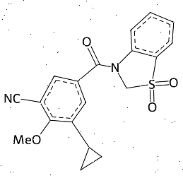 COc1c(C#N)cc(C(=O)N2CS(=O)(=O)c3ccccc32)cc1C1CC1